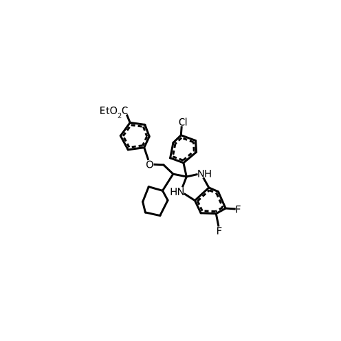 CCOC(=O)c1ccc(OCC(C2CCCCC2)C2(c3ccc(Cl)cc3)Nc3cc(F)c(F)cc3N2)cc1